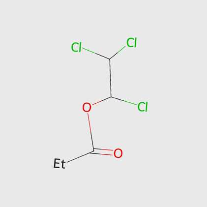 CCC(=O)OC(Cl)C(Cl)Cl